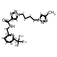 Cc1cn(CCCCn2cc(C(=O)NCc3cccc(C(F)(F)F)n3)nn2)nn1